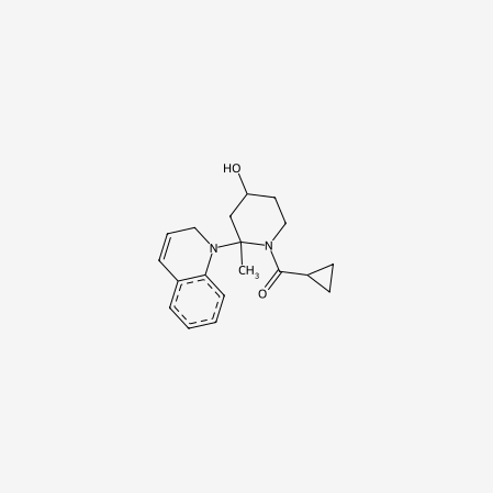 CC1(N2CC=Cc3ccccc32)CC(O)CCN1C(=O)C1CC1